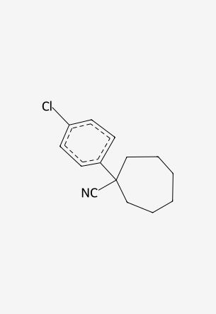 N#CC1(c2ccc(Cl)cc2)CCCCCC1